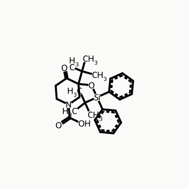 CC(C)(C)C1(O[Si](c2ccccc2)(c2ccccc2)C(C)(C)C)CN(C(=O)O)CCC1=O